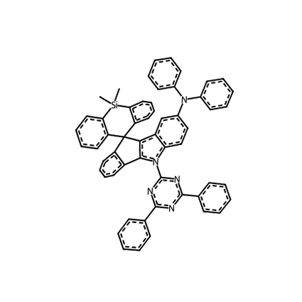 C[Si]1(C)c2ccccc2C2(c3ccccc3-c3c2c2cc(N(c4ccccc4)c4ccccc4)ccc2n3-c2nc(-c3ccccc3)nc(-c3ccccc3)n2)c2ccccc21